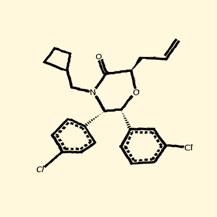 C=CC[C@H]1O[C@H](c2cccc(Cl)c2)[C@H](c2ccc(Cl)cc2)N(CC2CCC2)C1=O